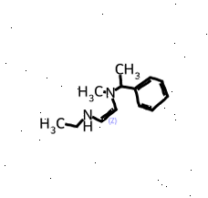 CCN/C=C\N(C)C(C)c1ccccc1